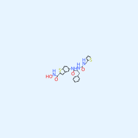 O=C(NCc1cccs1)NC(Cc1ccccc1)C(=O)Nc1ccc2sc(C(=O)NO)cc2c1